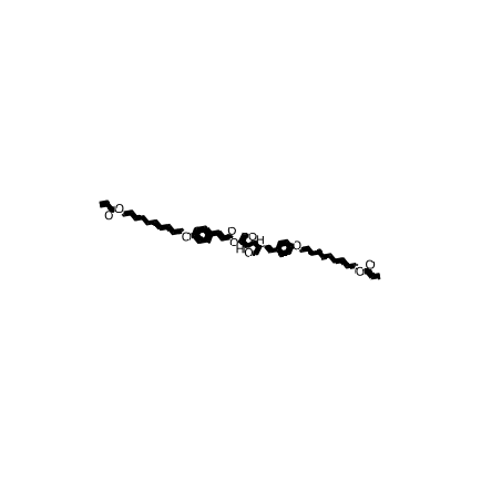 C=CC(=O)OCCCCCCCCCCOc1ccc(C=C[C@@H]2CO[C@H]3[C@@H]2OC[C@H]3OC(=O)/C=C/c2ccc(OCCCCCCCCCCOC(=O)C=C)cc2)cc1